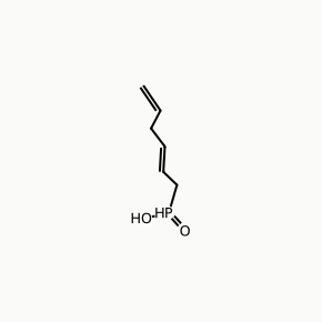 C=CCC=CC[PH](=O)O